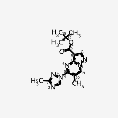 Cc1ncn(-c2nc3c(C(=O)OC(C)(C)C)cnn3cc2C)n1